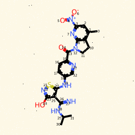 Cc1cc([N+](=O)[O-])nc2c1CCN2C(=O)c1ccc(Nc2snc(O)c2C(=N)NC(C)C)cn1